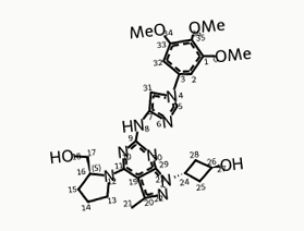 COc1cc(-n2cnc(Nc3nc(N4CCC[C@H]4CO)c4c(C)nn([C@H]5C[C@H](O)C5)c4n3)c2)cc(OC)c1OC